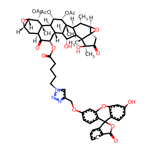 CC(=O)O[C@H]1[C@H]2[C@H]([C@@H]3[C@@H](O)C4[C@H]([C@H](C)[C@H]5O[C@]56CC(=O)[C@@](C)(O)[C@]46C)[C@@]3(C)[C@H]1OC(C)=O)[C@@H](OC(=O)CCCCn1cc(COc3ccc4c(c3)Oc3cc(O)ccc3C43OC(=O)c4ccccc43)nn1)C(=O)[C@H]1C[C@@H]3O[C@@H]3[C@H](OC(C)=O)[C@]21C